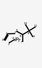 C=CC.CC(C)C.CC(C)C(C)(C)C